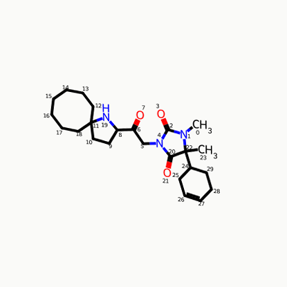 CN1C(=O)N(CC(=O)C2CCC3(CCCCCCC3)N2)C(=O)C1(C)C1CC=CCC1